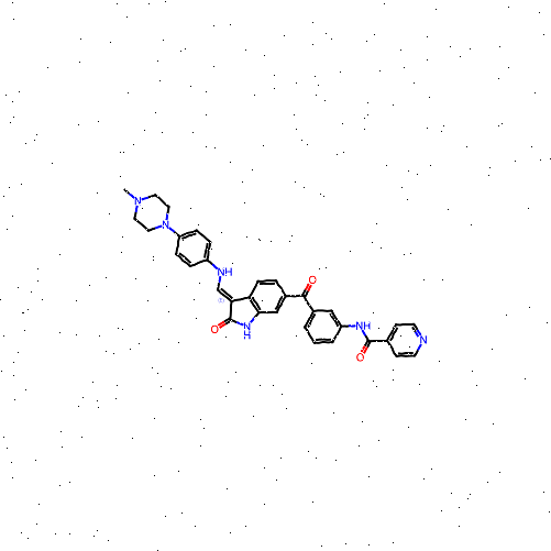 CN1CCN(c2ccc(N/C=C3/C(=O)Nc4cc(C(=O)c5cccc(NC(=O)c6ccncc6)c5)ccc43)cc2)CC1